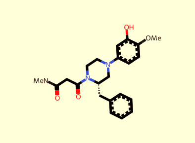 CNC(=O)CC(=O)N1CCN(c2ccc(OC)c(O)c2)C[C@@H]1Cc1ccccc1